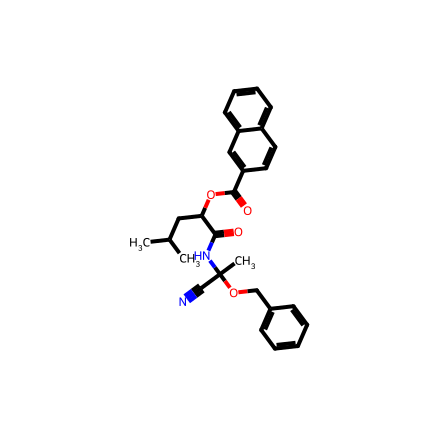 CC(C)CC(OC(=O)c1ccc2ccccc2c1)C(=O)NC(C)(C#N)OCc1ccccc1